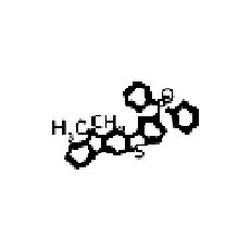 CC1(C)c2ccccc2-c2cc3sc4ccc(P(=O)(c5ccccc5)c5ccccc5)cc4c3cc21